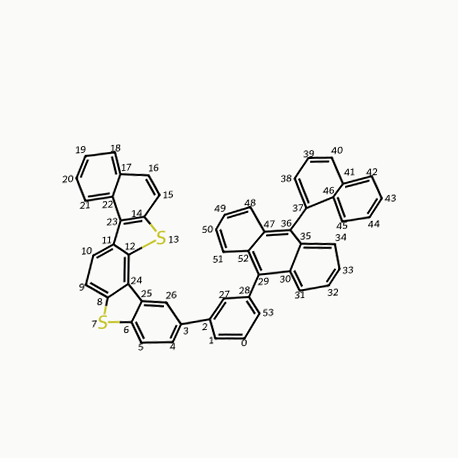 c1cc(-c2ccc3sc4ccc5c(sc6ccc7ccccc7c65)c4c3c2)cc(-c2c3ccccc3c(-c3cccc4ccccc34)c3ccccc23)c1